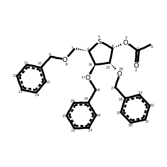 CC(=O)O[C@H]1S[C@@H](COCc2ccccc2)[C@H](OCc2ccccc2)[C@H]1OCc1ccccc1